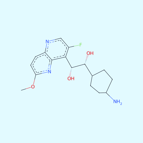 COc1ccc2ncc(F)c([C@@H](O)[C@H](O)C3CCC(N)CC3)c2n1